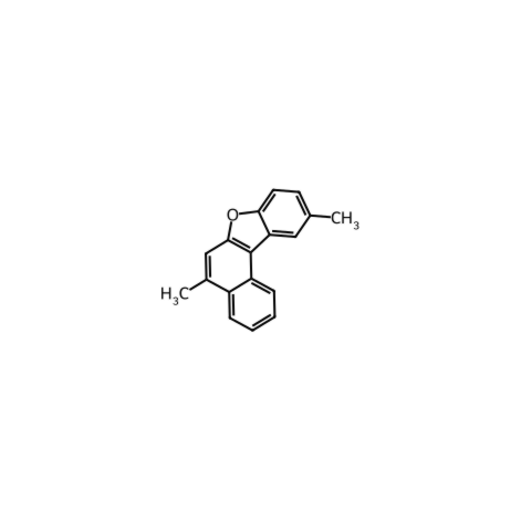 Cc1ccc2oc3cc(C)c4ccccc4c3c2c1